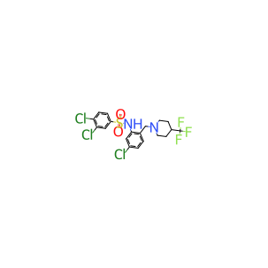 O=S(=O)(Nc1cc(Cl)ccc1CN1CCC(C(F)(F)F)CC1)c1ccc(Cl)c(Cl)c1